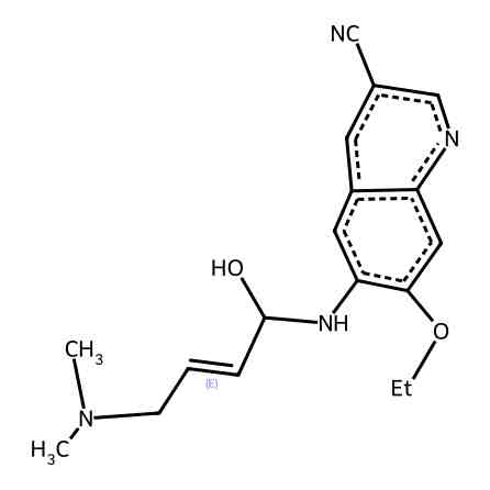 CCOc1cc2ncc(C#N)cc2cc1NC(O)/C=C/CN(C)C